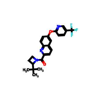 CC(C)(C)C1[CH]CN1C(=O)c1ccc2cc(Oc3ccc(C(F)(F)F)cn3)ccc2n1